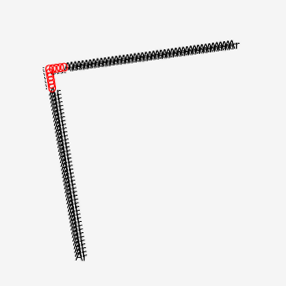 [Ar].[Ar].[Ar].[Ar].[Ar].[Ar].[Ar].[Ar].[Ar].[Ar].[Ar].[Ar].[Ar].[Ar].[Ar].[Ar].[Ar].[Ar].[Ar].[Ar].[Ar].[Ar].[Ar].[Ar].[Ar].[Ar].[Ar].[Ar].[Ar].[Ar].[Ar].[Ar].[Ar].[Ar].[Ar].[Ar].[Ar].[Ar].[Ar].[Ar].[Ar].[Ar].[Ar].[Ar].[Ar].[Ar].[Ar].[Ar].[Ar].[Ar].[Ar].[Ar].[Ar].[Ar].[Ar].[Ar].[Ar].[Ar].[Ar].[Ar].[Ar].[Ar].[Ar].[Ar].[Ar].[Ar].[Ar].[Ar].[Ar].[Ar].[Ar].[Ar].[Ar].[Ar].[Ar].[Ar].[Ar].[Ar].[Ar].[Ar].[Ar].[Ar].[Ar].[Ar].[Ar].[Ar].[Ar].[Ar].[Ar].[Ar].[O].[O].[O].[O].[O].[O].[O].[O].[O].[O]